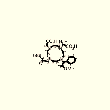 COC(=O)C(c1ccccc1)N1CCN(CC(=O)O)CCN(CC(=O)O)CCN(CC(=O)OC(C)(C)C)CC1.[NaH]